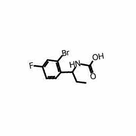 CCC(NC(=O)O)c1ccc(F)cc1Br